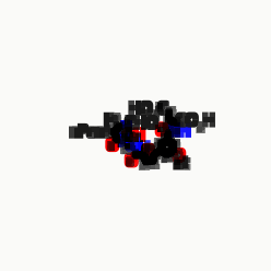 CCCCCC(C(=O)NCNC(=O)c1ccc(-c2cc(OCC)cc(C(=O)NC(CCC(=O)O)C(=O)O)c2)o1)[C@@H](CC)N(O)C=O